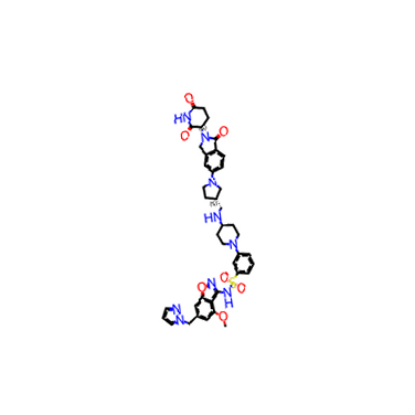 COc1cc(Cn2cccn2)cc2onc(NS(=O)(=O)c3cccc(N4CCC(NC[C@@H]5CCN(c6ccc7c(c6)CN([C@H]6CCC(=O)NC6=O)C7=O)C5)CC4)c3)c12